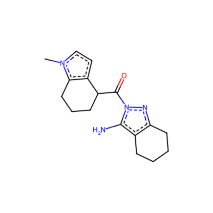 Cn1ccc2c1CCCC2C(=O)n1nc2c(c1N)CCCC2